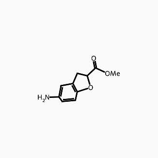 COC(=O)C1Cc2cc(N)ccc2O1